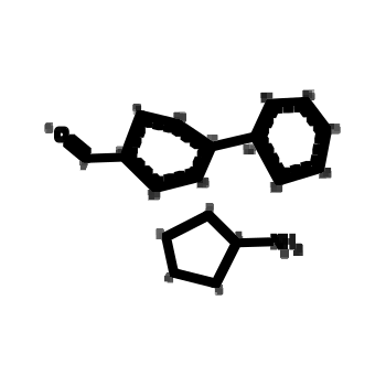 NC1CCCC1.O=Cc1ccc(-c2ccccc2)cc1